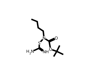 CCCCN(SC(=N)N)C(=O)OC(C)(C)C